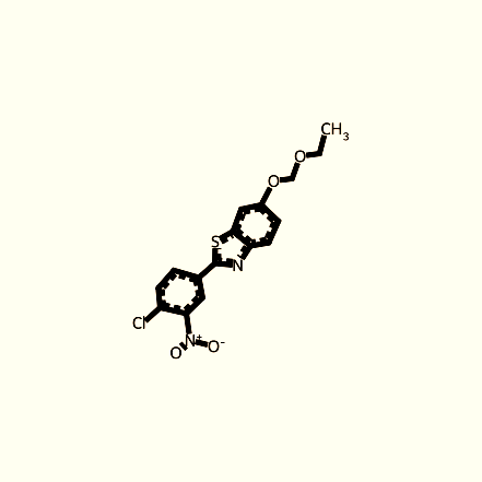 CCOCOc1ccc2nc(-c3ccc(Cl)c([N+](=O)[O-])c3)sc2c1